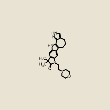 CC1(C)C(=O)N(CCN2CCOCC2)c2cc3c4c([nH]c3cc21)-c1n[nH]cc1CCC4